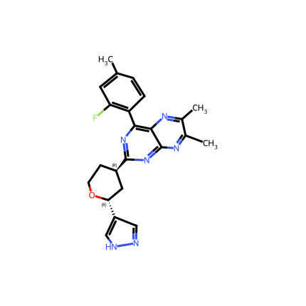 Cc1ccc(-c2nc([C@@H]3CCO[C@@H](c4cn[nH]c4)C3)nc3nc(C)c(C)nc23)c(F)c1